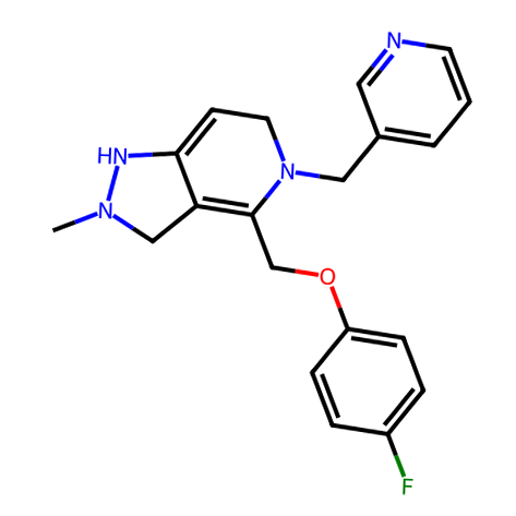 CN1CC2=C(COc3ccc(F)cc3)N(Cc3cccnc3)CC=C2N1